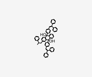 CC(Cc1ccc2c(c1)C(O)(c1ccc(C=C(c3ccccc3)c3ccccc3)cc1)c1ccccc1C2(O)c1ccc(C=C(c2ccccc2)c2ccccc2)cc1)c1ccccc1